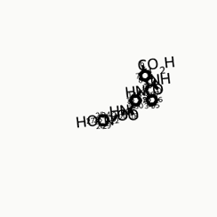 O=C1Nc2cc(C(=O)O)ccc2/C1=C(\Nc1ccc(C(=O)NOCCN2CCC(O)CC2)cc1)c1ccccc1